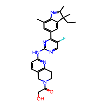 CCC1(C)C(C)=Nc2c(C)cc(-c3nc(Nc4ccc5c(n4)CCN(C(=O)CO)C5)ncc3F)cc21